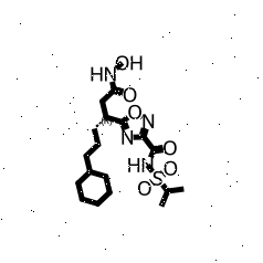 CC(C)S(=O)(=O)NC(=O)c1noc([C@H](CCCC2CCCCC2)CC(=O)NO)n1